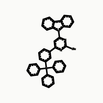 CC(C)(C)c1nc(-c2cccc([Si](c3ccccc3)(c3ccccc3)c3ccccc3)c2)cc(-n2c3ccccc3c3ccccc32)n1